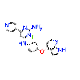 Nc1nc(Nc2ccc(Oc3ccnc4[nH]ccc34)cc2F)cc(-c2ccncc2)n1